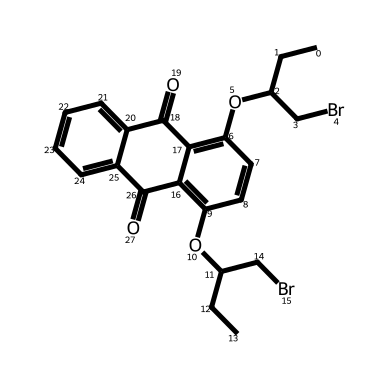 CCC(CBr)Oc1ccc(OC(CC)CBr)c2c1C(=O)c1ccccc1C2=O